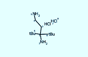 CC(C)(C)C(N)(CCN)C(C)(C)C.Cl.Cl